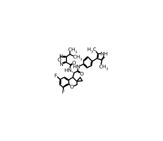 Cc1c[nH]c(C)c1-c1ccc(NC(=O)[C@@H](NC(=O)c2nonc2C(C)C)C2c3cc(F)cc(F)c3OCC23CC3)cc1